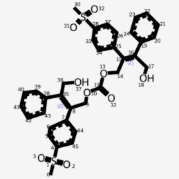 CS(=O)(=O)c1ccc(/C(COC(=O)OC/C(=C(\CO)c2ccccc2)c2ccc(S(C)(=O)=O)cc2)=C(/CO)c2ccccc2)cc1